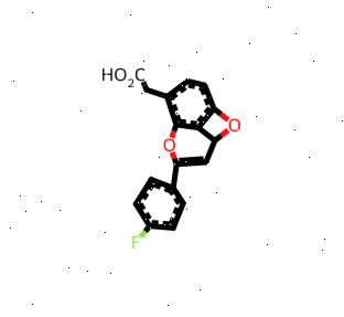 O=C(O)Cc1ccc2c3c1OC(c1ccc(F)cc1)=CC3O2